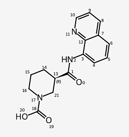 O=C(Nc1cccc2cccnc12)[C@@H]1CCCN(C(=O)O)C1